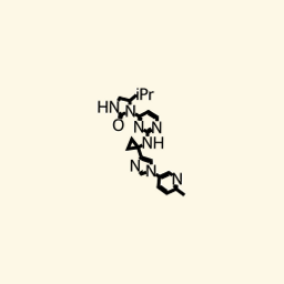 Cc1ccc(-n2cnc(C3(Nc4nccc(N5C(=O)NCC5C(C)C)n4)CC3)c2)cn1